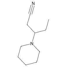 CCC(CC#N)N1CCCCC1